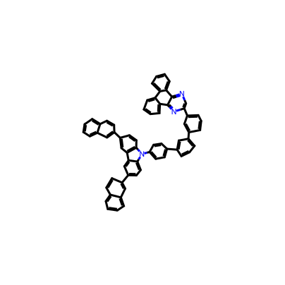 c1cc(-c2ccc(-n3c4ccc(-c5ccc6ccccc6c5)cc4c4cc(-c5ccc6ccccc6c5)ccc43)cc2)cc(-c2cccc(-c3cnc4c5ccccc5c5ccccc5c4n3)c2)c1